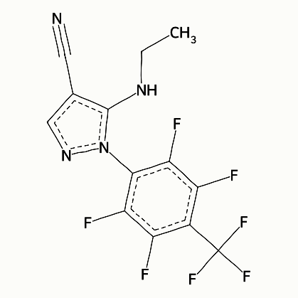 CCNc1c(C#N)cnn1-c1c(F)c(F)c(C(F)(F)F)c(F)c1F